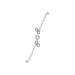 O=C(CCCCCCCCCCC1CC1)OCc1ccc(COC(=O)CCCCCCCCCCC2CC2)cc1